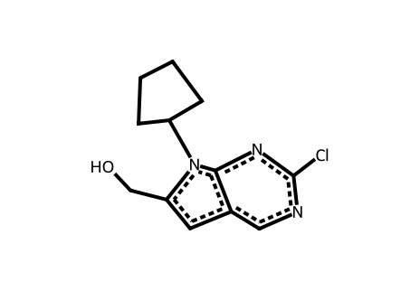 OCc1cc2cnc(Cl)nc2n1C1CCCC1